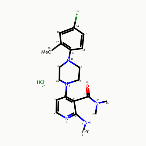 CCCNc1nccc(N2CCN(c3ccc(F)cc3OC)CC2)c1C(=O)N(C)C.Cl